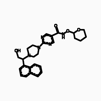 O=C(NOC1CCCCO1)c1cnc(N2CCN(C(CO)c3cccc4ccccc34)CC2)nc1